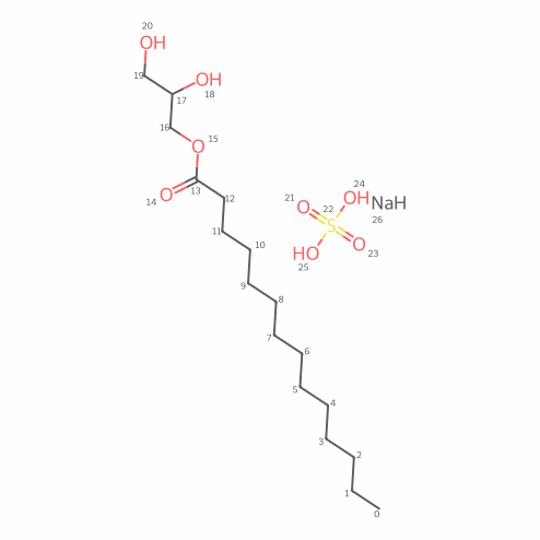 CCCCCCCCCCCCCC(=O)OCC(O)CO.O=S(=O)(O)O.[NaH]